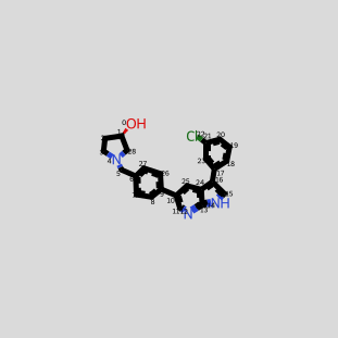 O[C@@H]1CCN(Cc2ccc(-c3cnc4[nH]cc(-c5cccc(Cl)c5)c4c3)cc2)C1